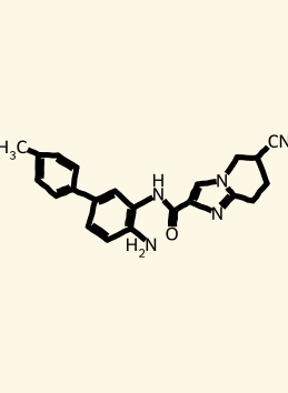 Cc1ccc(-c2ccc(N)c(NC(=O)c3cn4c(n3)CCC(C#N)C4)c2)cc1